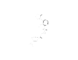 [CH2][C@H](NS(=O)(=O)c1cccc(N2CCCC2=O)c1OC)C(=O)N1CC[C@H](N(C)C)C1